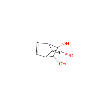 O=C=C1C2C=CC1C(O)C2O